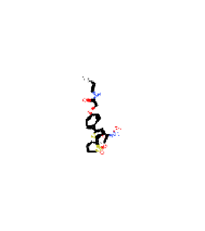 CCCNC(=O)COc1ccc(-c2ccc([C@@]3(CC(=O)NO)CCCCS3(=O)=O)s2)cc1